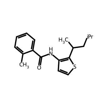 Cc1ccccc1C(=O)Nc1ccsc1C(C)CC(C)C